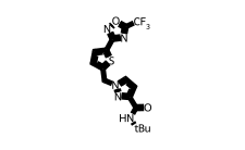 CC(C)(C)NC(=O)c1ccn(Cc2ccc(-c3noc(C(F)(F)F)n3)s2)n1